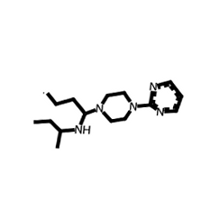 [CH2]CCC(NC(C)CC)N1CCN(c2ncccn2)CC1